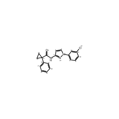 O=C(Nc1ccn(-c2cccc(Cl)c2)n1)C1(c2ccccc2)CC1